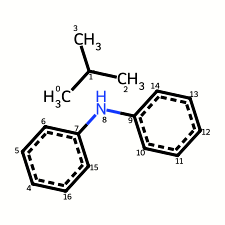 C[C](C)C.c1ccc(Nc2ccccc2)cc1